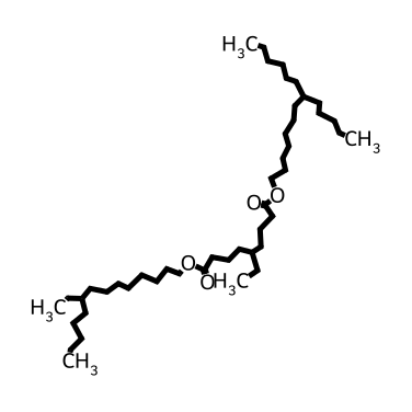 CCCCCCC(CCCCC)CCCCCCCOC(=O)CCCC(CC)CCCC(=O)OCCCCCCCCC(CC)CCCCC